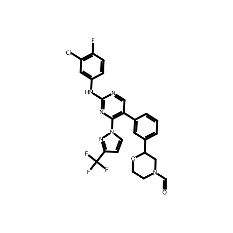 O=CN1CCOC(c2cccc(-c3cnc(Nc4ccc(F)c(Cl)c4)nc3-n3ccc(C(F)(F)F)n3)c2)C1